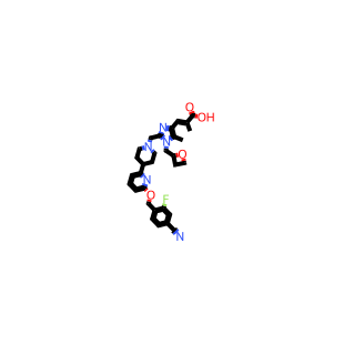 C/C(=C\c1nc(CN2CCC(c3cccc(OCc4ccc(C#N)cc4F)n3)CC2)n(CC2CCO2)c1C)C(=O)O